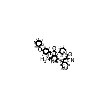 CCC1(C=C(C#N)C(=O)N2CCCC(n3c(=O)n(-c4ccc(Oc5ccccc5)cc4)c4c(N)nccc43)C2)CCOCC1